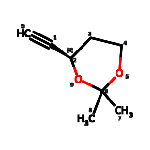 C#C[C@H]1CCOC(C)(C)O1